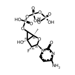 C[C@]12O[C@@H](n3ccc(N)nc3=O)[C@H](F)[C@@]1(O)C2OP(=O)(O)OP(=O)(O)OP(=O)(O)O